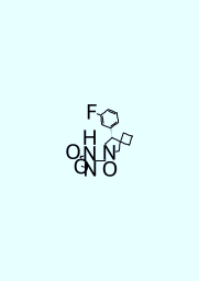 O=C(c1noc(=O)[nH]1)N1C[C@H](c2cccc(F)c2)C2(CCC2)C1